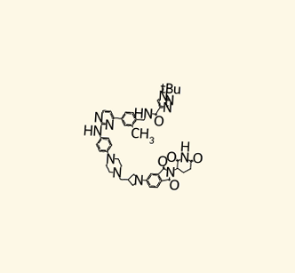 Cc1cc(-c2ccnc(Nc3ccc(N4CCN(CC5CN(c6ccc7c(c6)C(=O)N(C6CCC(=O)NC6=O)C7=O)C5)CC4)cc3)n2)ccc1CNC(=O)c1cn(C(C)(C)C)nn1